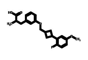 COc1ccc(F)c(C2CC(COc3cccc(CC(C)C(=O)O)c3)C2)c1